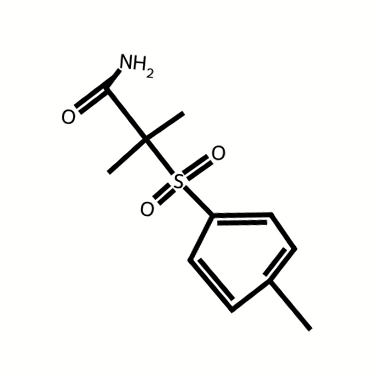 Cc1ccc(S(=O)(=O)C(C)(C)C(N)=O)cc1